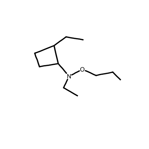 CCCON(CC)C1CCC1CC